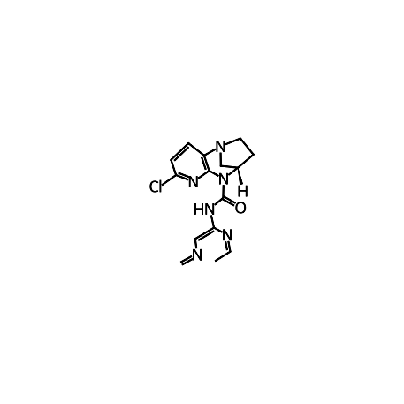 C=N/C=C(\N=C/C)NC(=O)N1c2nc(Cl)ccc2N2CC[C@H]1C2